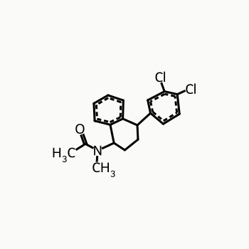 CC(=O)N(C)C1CCC(c2ccc(Cl)c(Cl)c2)c2ccccc21